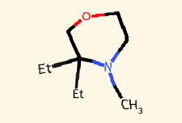 CCC1(CC)COCCN1C